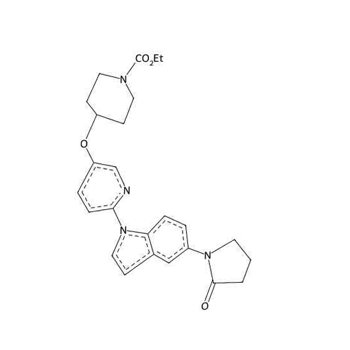 CCOC(=O)N1CCC(Oc2ccc(-n3ccc4cc(N5CCCC5=O)ccc43)nc2)CC1